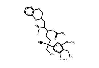 CCC(C#N)(CCC(OC(C)=O)C(CC1COc2ccccc2O1)[N+](=O)[O-])c1cc(OC)c(OC)c(OC)c1